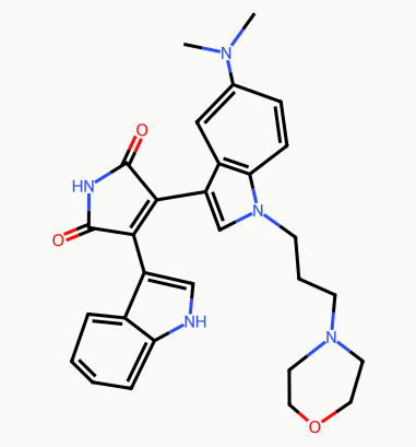 CN(C)c1ccc2c(c1)c(C1=C(c3c[nH]c4ccccc34)C(=O)NC1=O)cn2CCCN1CCOCC1